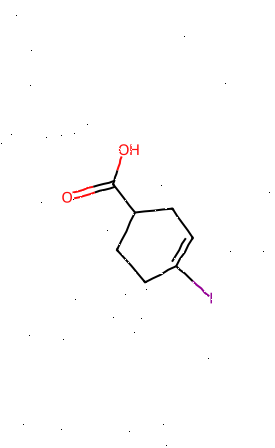 O=C(O)C1CC=C(I)CC1